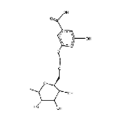 CC1O[C@@H](CCCOc2cc(O)cc(C(=O)O)c2)C(O)C(O)[C@@H]1O